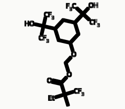 CCC(C)(C(=O)OCOC1CC(C(O)(C(F)(F)F)C(F)(F)F)CC(C(O)(C(F)(F)F)C(F)(F)F)C1)C(F)(F)F